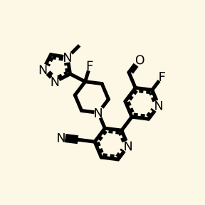 Cn1cnnc1C1(F)CCN(c2c(C#N)ccnc2-c2cnc(F)c(C=O)c2)CC1